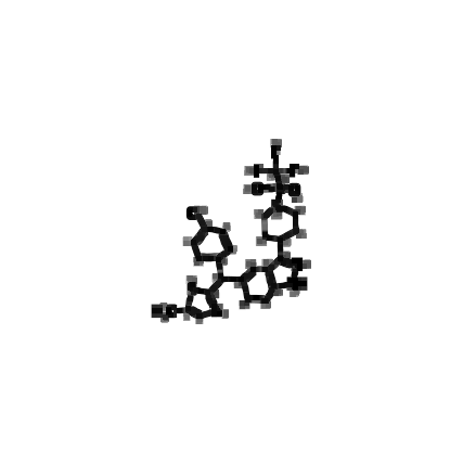 Cc1cnc(C(c2ccc(Cl)cc2)c2ccc3[nH]nc(C4CCN(S(=O)(=O)C(F)(F)F)CC4)c3c2)s1